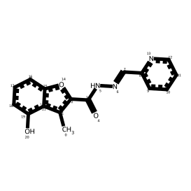 Cc1c(C(=O)NN=Cc2ccccn2)oc2cccc(O)c12